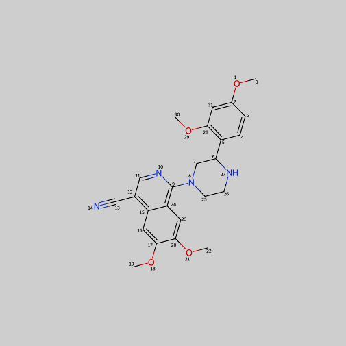 COc1ccc(C2CN(c3ncc(C#N)c4cc(OC)c(OC)cc34)CCN2)c(OC)c1